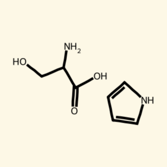 NC(CO)C(=O)O.c1cc[nH]c1